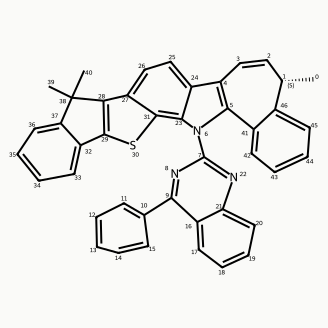 C[C@H]1C=Cc2c(n(-c3nc(-c4ccccc4)c4ccccc4n3)c3c2ccc2c4c(sc23)-c2ccccc2C4(C)C)-c2ccccc21